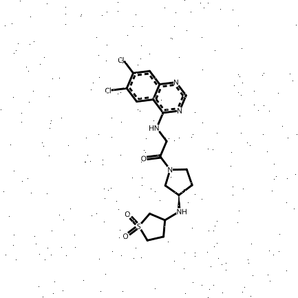 O=C(CNc1ncnc2cc(Cl)c(Cl)cc12)N1CC[C@@H](NC2CCS(=O)(=O)C2)C1